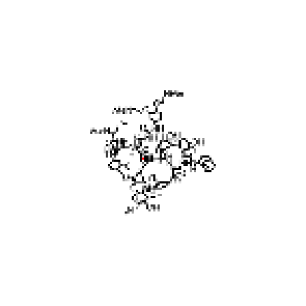 CNCCOc1ccc(NC(=O)NC(=O)C[C@@H]2NC(=O)[C@H](NC(=O)[C@@H](CC(C)C)NC)[C@H](O)c3ccc(c(C)c3)Oc3cc4cc(c3O[C@@H]3O[C@H](CN)[C@@H](O)[C@H](O)[C@H]3O)Oc3ccc(cc3Cl)[C@@H](O)[C@@H]3NC(=O)[C@H](NC(=O)[C@@H]4NC2=O)c2ccc(O)c(c2)-c2c(C)cc(O)cc2[C@@H](C(=O)NC2C4CC5CC(C4)CC2C5)NC3=O)cc1OCCNC